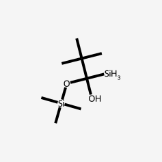 CC(C)(C)C(O)([SiH3])O[Si](C)(C)C